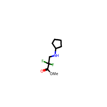 COC(=O)C(F)(F)CNC1CCCC1